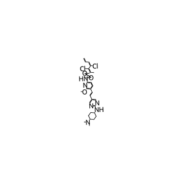 C=C/C=C(Cl)\C(Cl)=C(/C)S(=O)(=O)Nc1ccc(/C=C/c2cnc(N[C@H]3CC[C@H](N(C)C)CC3)nc2)c(OC)n1